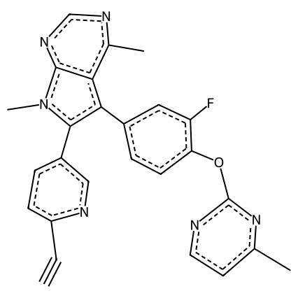 C#Cc1ccc(-c2c(-c3ccc(Oc4nccc(C)n4)c(F)c3)c3c(C)ncnc3n2C)cn1